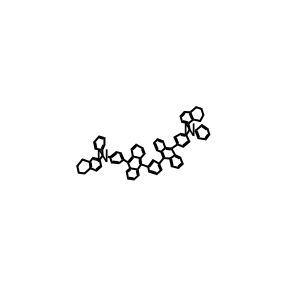 c1ccc(N(c2ccc(-c3c4ccccc4c(-c4cccc(-c5c6ccccc6c(-c6ccc(N(c7ccccc7)c7cccc8c7CCCC8)cc6)c6ccccc56)c4)c4ccccc34)cc2)c2ccc3c(c2)CCCC3)cc1